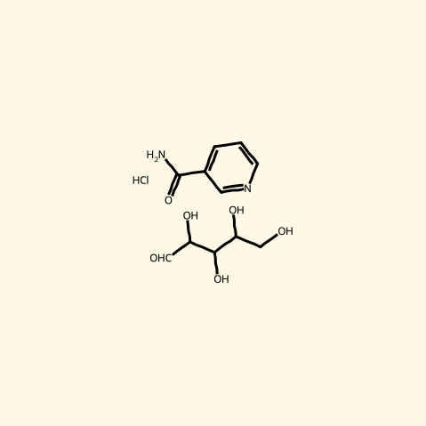 Cl.NC(=O)c1cccnc1.O=CC(O)C(O)C(O)CO